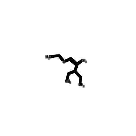 CCOC=C(C)C(CC)CC